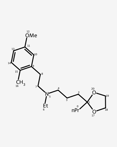 CCCC1(CCCN(CC)CCc2cc(OC)ccc2C)OCCO1